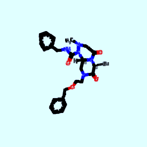 CCC(C)[C@H]1C(=O)N(CCOCc2ccccc2)C[C@H]2N1C(=O)CN(C)N2C(=O)NCc1ccccc1